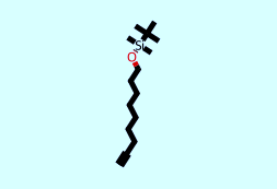 C#CCCCCCCCO[Si](C)(C)C(C)(C)C